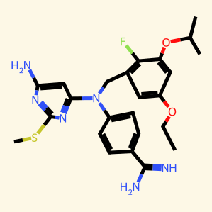 CCOc1cc(CN(c2ccc(C(=N)N)cc2)c2cc(N)nc(SC)n2)c(F)c(OC(C)C)c1